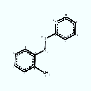 Nc1ccccc1SSc1ccccn1